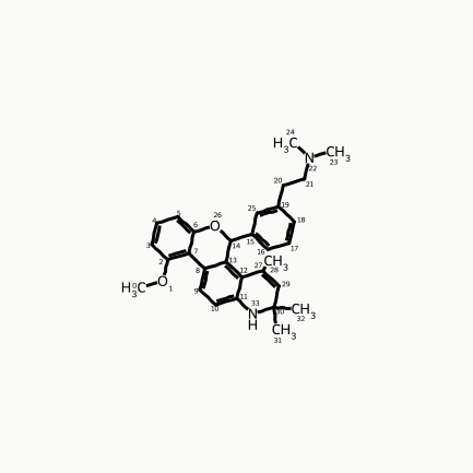 COc1cccc2c1-c1ccc3c(c1C(c1cccc(CCN(C)C)c1)O2)C(C)=CC(C)(C)N3